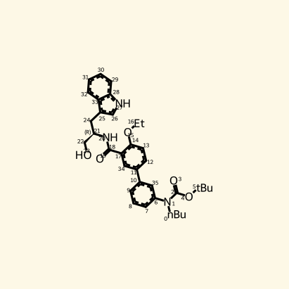 CCCCN(C(=O)OC(C)(C)C)c1cccc(-c2ccc(OCC)c(C(=O)N[C@@H](CO)Cc3c[nH]c4ccccc34)c2)c1